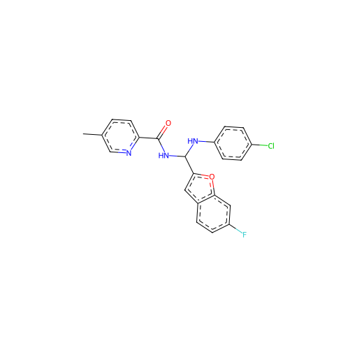 Cc1ccc(C(=O)NC(Nc2ccc(Cl)cc2)c2cc3ccc(F)cc3o2)nc1